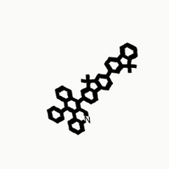 CC1(C)c2ccccc2-c2ccc(-c3ccc4c(c3)C(C)(C)c3cc(-c5c6ccccc6c(-c6ccccc6)c6c5cnc5ccccc56)ccc3-4)cc21